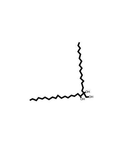 CCCCCCCCCCCCCCCCC(O)C(O)(CO)CCCCCCCCCCCCCCCC